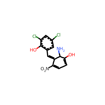 NC1C(O)=CC=C([N+](=O)[O-])C1=Cc1cc(Cl)cc(Cl)c1O